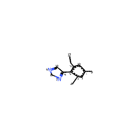 Cc1cc(C)c(C2=N[C]N=C2)c(C)c1